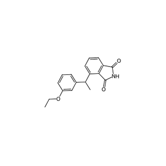 CCOc1cccc(C(C)c2cccc3c2C(=O)NC3=O)c1